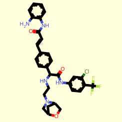 Nc1ccccc1NC(=O)/C=C/c1ccc(C(NCCN2CC3CC2CO3)C(=O)Nc2ccc(C(F)(F)F)c(Cl)c2)cc1